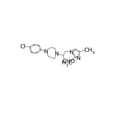 Cc1cn(CC(C=O)N2CCN(c3ccc(Cl)cc3)CC2)c(C)n1